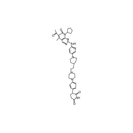 CC(=O)c1c(C)c2cnc([AsH]c3ccc(N4CCC(CCN5CCN(c6ccc(C7CCC(=O)NC7=O)cc6)CC5)CC4)cn3)nc2n(C2CCCC2)c1=O